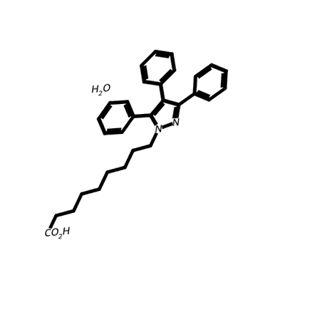 O.O=C(O)CCCCCCCCn1nc(-c2ccccc2)c(-c2ccccc2)c1-c1ccccc1